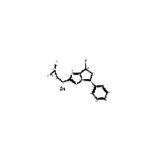 O[C@@H](c1nc2n(n1)[C@H](c1ccccc1)C[C@@H]2F)[C@@H]1C[C@H]1F